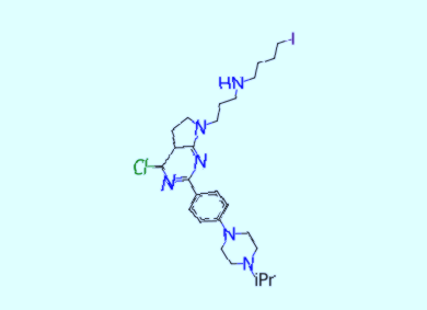 CC(C)N1CCN(c2ccc(C3=NC(Cl)C4CCN(CCCNCCCCI)C4=N3)cc2)CC1